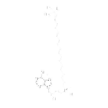 CC[Si](C)(C)CCCCCCCCCCCCCCSCCOP(=O)(O)CO[C@H](C)Cn1cnc2c(N)ncnc21